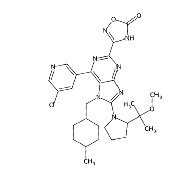 COC(C)(C)C1CCCN1c1nc2nc(-c3noc(=O)[nH]3)nc(-c3cncc(Cl)c3)c2n1CC1CCC(C)CC1